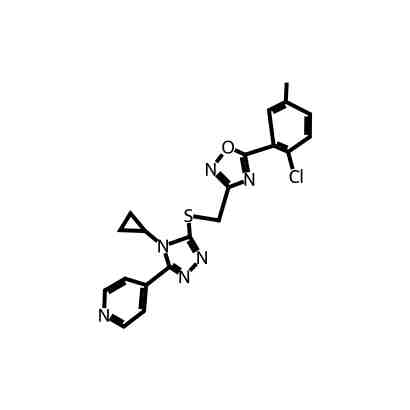 Cc1ccc(Cl)c(-c2nc(CSc3nnc(-c4ccncc4)n3C3CC3)no2)c1